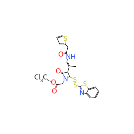 CC(=CNC(=O)Cc1cccs1)C1C(=O)N(CC(=O)OCC(Cl)(Cl)Cl)C1SSc1nc2ccccc2s1